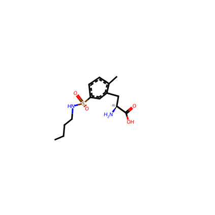 CCCCNS(=O)(=O)c1ccc(C)c(C[C@H](N)C(=O)O)c1